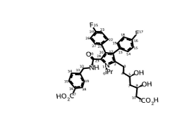 CC(C)n1c(CC[C@@H](O)C[C@@H](O)CC(=O)O)c(-c2ccc(F)cc2)c(-c2ccc(F)cc2)c1C(=O)NCc1ccc(C(=O)O)cc1